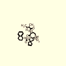 CN[C@@H](C)C(=O)N[C@H]1CC[SH](C)[C@H]2CC3(CC=CC3)[C@@H](C(=O)N[C@@H]3CCCc4ccccc43)N2C1=O